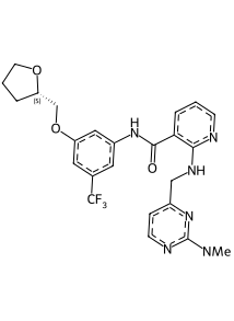 CNc1nccc(CNc2ncccc2C(=O)Nc2cc(OC[C@@H]3CCCO3)cc(C(F)(F)F)c2)n1